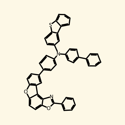 c1ccc(-c2ccc(N(c3ccc(-c4ccc5oc6ccc7oc(-c8ccccc8)nc7c6c5c4)cc3)c3ccc4sc5ccccc5c4c3)cc2)cc1